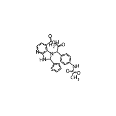 CS(=O)(=O)Nc1ccc(C(C(N)=O)N2c3c(C(=O)O)ccnc3NC2c2cccs2)cc1